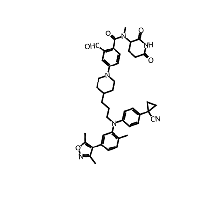 Cc1ccc(-c2c(C)noc2C)cc1N(CCCC1CCN(c2ccc(C(=O)N(C)C3CCC(=O)NC3=O)c(C=O)c2)CC1)c1ccc(C2(C#N)CC2)cc1